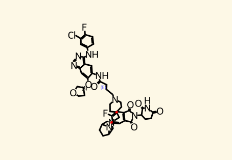 O=C(/C=C/CN1CCC(CN2CC3CCC(C2)N3c2cc3c(cc2F)C(=O)N(C2CCC(=O)NC2=O)C3=O)CC1)Nc1cc2c(Nc3ccc(F)c(Cl)c3)ncnc2cc1O[C@H]1CCOC1